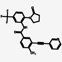 Cc1ccc(C(=O)Nc2cc(C(F)(F)F)ccc2N2CCCC2=O)cc1C#Cc1cccnc1